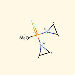 COP(=S)(N1CC1)N1CC1